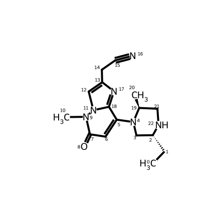 CC[C@@H]1CN(c2cc(=O)n(C)n3cc(CC#N)nc23)[C@@H](C)CN1